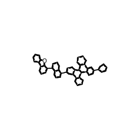 c1ccc(-c2ccc3c(c2)c2ccccc2c2c4ccc(-c5cccc6c(-c7cccc8c7oc7ccccc78)cccc56)cc4c4ccccc4c32)cc1